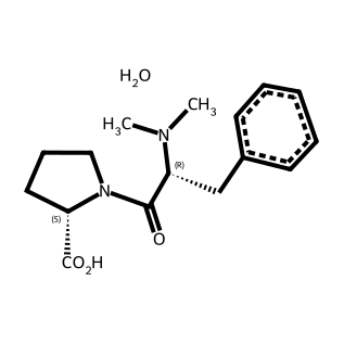 CN(C)[C@H](Cc1ccccc1)C(=O)N1CCC[C@H]1C(=O)O.O